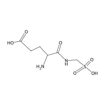 NC(CCC(=O)O)C(=O)NCS(=O)(=O)O